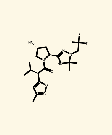 Cc1cc([C@H](C(=O)N2C[C@H](O)C[C@H]2C2=NN(CC(F)(F)F)C(C)(C)N2)C(C)C)on1